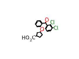 O=C(c1ccccc1OC1CCC(C(=O)O)C1)c1cccc(Cl)c1Cl